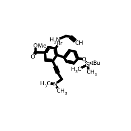 C#CCN.COC(=O)c1cc(Br)c(-c2ccc(O[Si](C)(C)C(C)(C)C)cc2)c(C#CCN(C)C)c1